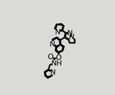 O=C(NCc1ccccn1)Oc1ccc2c(-c3c(-c4ccccn4)nn4c3CCC4)ccnc2c1